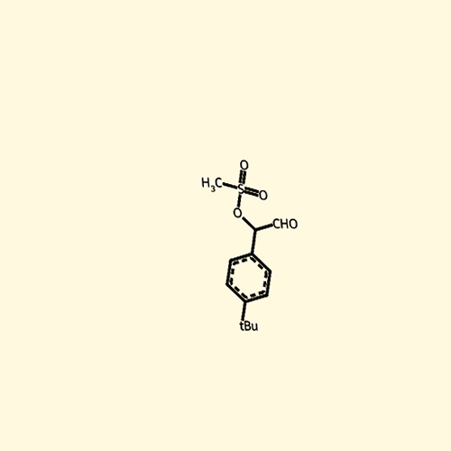 CC(C)(C)c1ccc(C(C=O)OS(C)(=O)=O)cc1